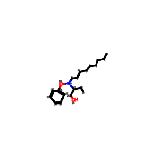 CCCCCCCCCN(Oc1ccccc1)C(CC)CO